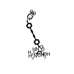 CC(C)(N)[C@H](NC(=O)c1ccc(C#CC#Cc2ccc(CN3CCS(=O)(=O)CC3)cc2)cc1)C(=O)NO